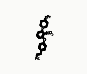 CCCC1CCN(c2cccc(Oc3ccc(CCC(C)=O)cc3)c2[N+](=O)[O-])CC1